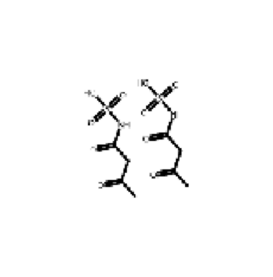 CC(=O)CC(=O)NS(=O)(=O)O.CC(=O)CC(=O)NS(=O)(=O)O